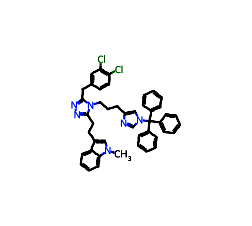 Cn1cc(CCc2nnc(Cc3ccc(Cl)c(Cl)c3)n2CCCc2cn(C(c3ccccc3)(c3ccccc3)c3ccccc3)cn2)c2ccccc21